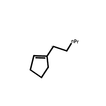 CCCC[CH]C1=CCCC1